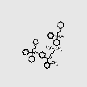 Cc1ccccc1C(OCCN(C)C)c1ccccc1.OC(CCN1CCCC1)(c1ccccc1)C1CCCCC1.OC(CCN1CCCCC1)(c1ccccc1)C1CCCCC1